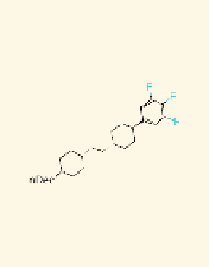 CCCCCCCCCC[C@H]1CC[C@H](CC[C@H]2CC[C@H](c3cc(F)c(F)c(F)c3)CC2)CC1